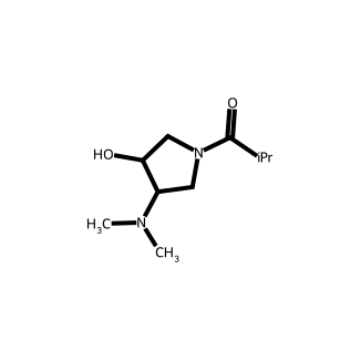 CC(C)C(=O)N1CC(O)C(N(C)C)C1